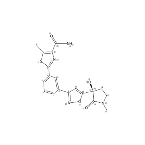 Cc1sc(-c2cccc(-c3cc([C@]4(O)CCN(C)C4=O)on3)c2)nc1C(N)=O